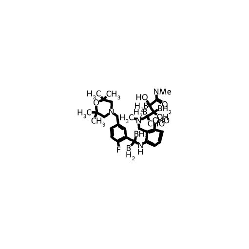 BC(B)(Nc1cccc(C=O)c1CN(C)C(B)(C=O)C(B)(O)C(B)(O)C(=O)NC)c1cc(CN2CC(C)(C)OC(C)(C)C2)ccc1F